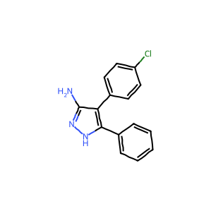 Nc1n[nH]c(-c2ccccc2)c1-c1ccc(Cl)cc1